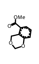 COC(=O)c1cccc2c1COCO2